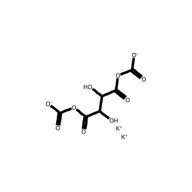 O=C([O-])OC(=O)C(O)C(O)C(=O)OC(=O)[O-].[K+].[K+]